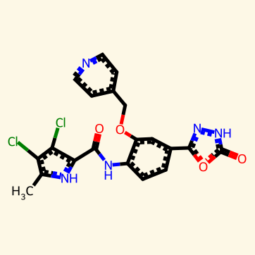 Cc1[nH]c(C(=O)Nc2ccc(-c3n[nH]c(=O)o3)cc2OCc2ccncc2)c(Cl)c1Cl